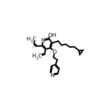 C=Cc1c(/C=C\C)nc(O)c(CCCCCC2CC2)c1OCCc1ccncc1